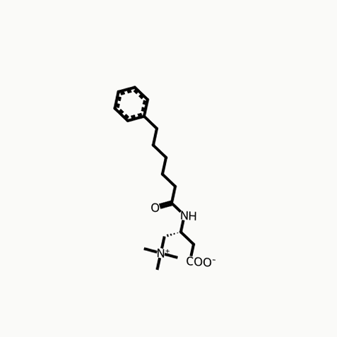 C[N+](C)(C)C[C@@H](CC(=O)[O-])NC(=O)CCCCCc1ccccc1